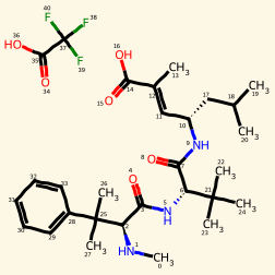 CN[C@H](C(=O)N[C@H](C(=O)N[C@H](/C=C(\C)C(=O)O)CC(C)C)C(C)(C)C)C(C)(C)c1ccccc1.O=C(O)C(F)(F)F